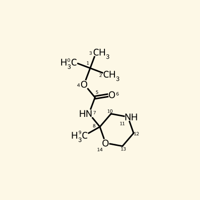 CC(C)(C)OC(=O)NC1(C)CNCCO1